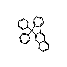 [c]1ccc2c(c1)C(c1ccccc1)(c1ccccc1)c1cc3ccccc3cc1-2